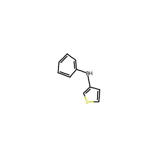 B(c1ccccc1)c1ccsc1